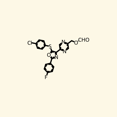 O=COCc1cnc(-c2nc(-c3ccc(F)cc3)oc2Sc2ccc(Cl)cc2)cn1